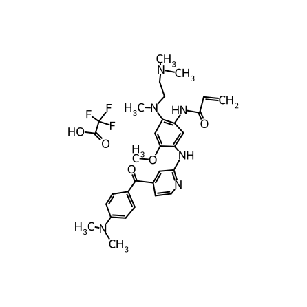 C=CC(=O)Nc1cc(Nc2cc(C(=O)c3ccc(N(C)C)cc3)ccn2)c(OC)cc1N(C)CCN(C)C.O=C(O)C(F)(F)F